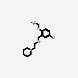 CCOc1ccc(Cl)cc1CNCCN1CCCCC1